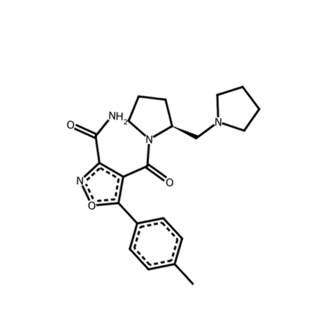 Cc1ccc(-c2onc(C(N)=O)c2C(=O)N2CCC[C@H]2CN2CCCC2)cc1